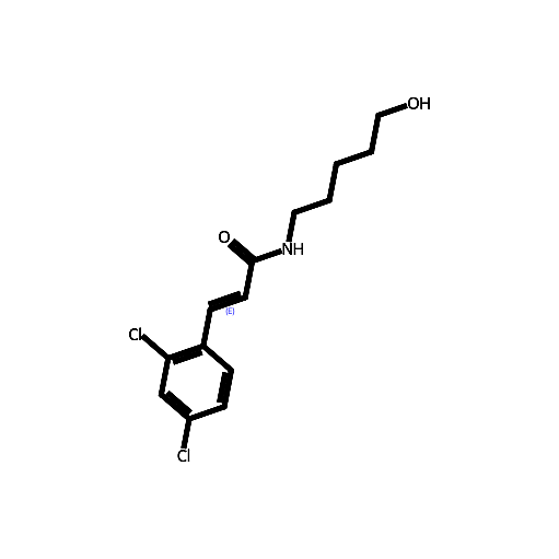 O=C(/C=C/c1ccc(Cl)cc1Cl)NCCCCCO